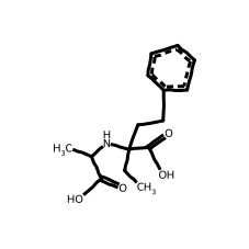 CCC(CCc1ccccc1)(NC(C)C(=O)O)C(=O)O